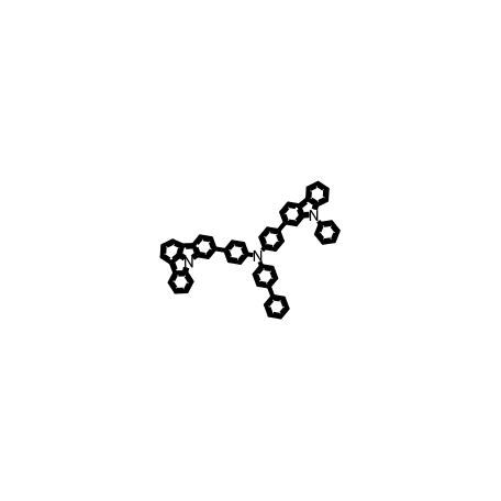 c1ccc(-c2ccc(N(c3ccc(-c4ccc5c6ccccc6n(-c6ccccc6)c5c4)cc3)c3ccc(-c4ccc5c6cccc7c8ccccc8n(c5c4)c76)cc3)cc2)cc1